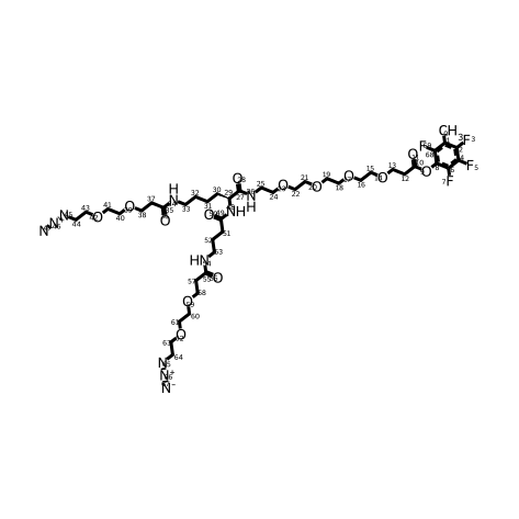 Cc1c(F)c(F)c(F)c(OC(=O)CCOCCOCCOCCOCCNC(=O)[C@H](CCCCNC(=O)CCOCCOCCN=[N+]=[N-])NC(=O)CCCNC(=O)CCOCCOCCN=[N+]=[N-])c1F